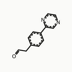 O=CCc1ccc(-c2cnccn2)cc1